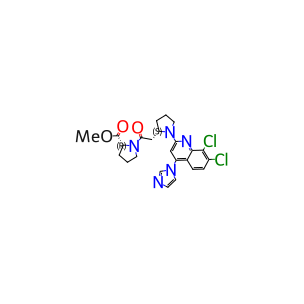 COC(=O)[C@H]1CCCN1C(=O)C[C@@H]1CCCN1c1cc(-n2ccnc2)c2ccc(Cl)c(Cl)c2n1